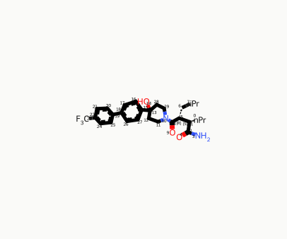 CCC[C@H](C(N)=O)[C@@H](CC(C)C)C(=O)N1CCC(O)(c2ccc(-c3ccc(C(F)(F)F)cc3)cc2)CC1